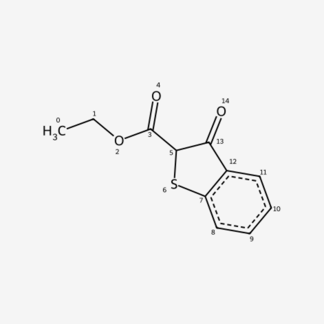 CCOC(=O)C1Sc2ccccc2C1=O